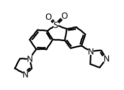 O=S1(=O)c2ccc(N3C=NCC3)cc2-c2cc(N3C=NCC3)ccc21